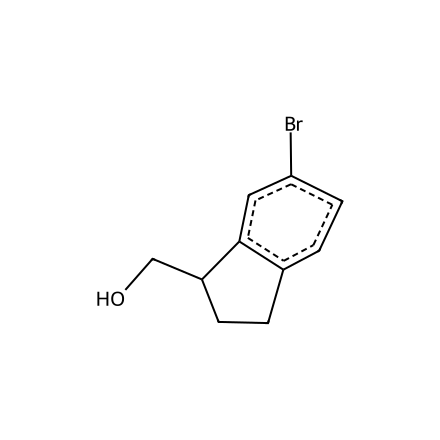 OCC1CCc2ccc(Br)cc21